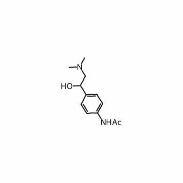 CC(=O)Nc1ccc(C(O)CN(C)C)cc1